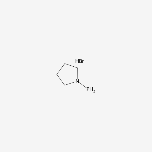 Br.PN1CCCC1